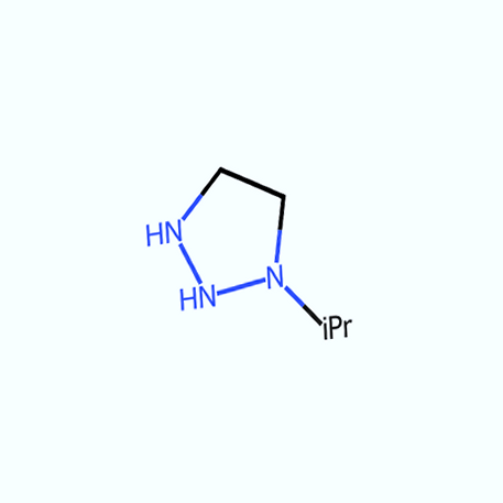 CC(C)N1CCNN1